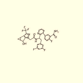 NC(=O)c1cc(-c2cccnc2C(Cc2cc(F)cc(F)c2)NC(=O)Cn2nc(C(F)(F)F)c3c2C(O)C2CC32)ccc1F